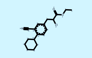 CCOC(=O)C(Cl)Cc1ccc(C2CCCCC2)c(C#N)c1